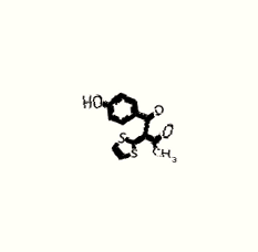 CC(=O)C(C(=O)c1ccc(O)cc1)=C1SC=CS1